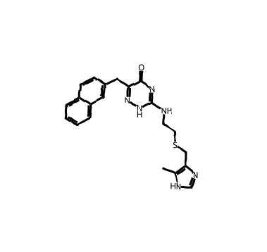 Cc1[nH]cnc1CSCCNc1nc(=O)c(Cc2ccc3ccccc3c2)n[nH]1